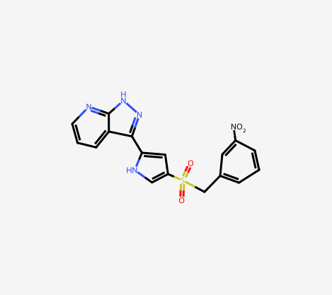 O=[N+]([O-])c1cccc(CS(=O)(=O)c2c[nH]c(-c3n[nH]c4ncccc34)c2)c1